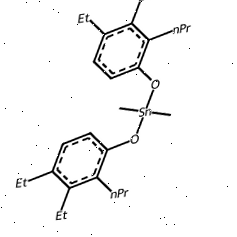 CCCc1c([O][Sn]([CH3])([CH3])[O]c2ccc(CC)c(CC)c2CCC)ccc(CC)c1CC